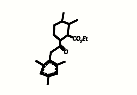 CCOC(=O)C1C(C(=O)Cc2c(C)cc(C)cc2C)CCC(C)C1C